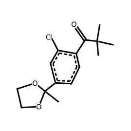 CC(C)(C)C(=O)c1ccc(C2(C)OCCO2)cc1Cl